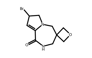 O=C1NCC2(COC2)CN2CC(Br)C=C12